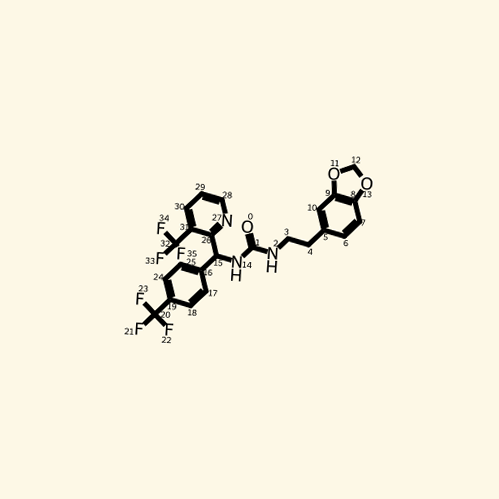 O=C(NCCc1ccc2c(c1)OCO2)NC(c1ccc(C(F)(F)F)cc1)c1ncccc1C(F)(F)F